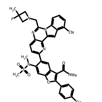 CNC(=O)c1c(-c2ccc(C)cc2)oc2cc(N(C)S(C)(=O)=O)c(-c3ccc4nc(CN5CC(C)(F)C5)n5c6cccc(C#N)c6cc5c4n3)cc12